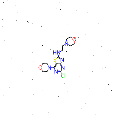 Clc1nc(N2CCOCC2)c2sc(NCCN3CCOCC3)nc2n1